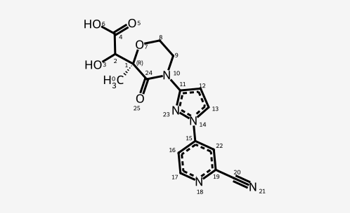 C[C@]1(C(O)C(=O)O)OCCN(c2ccn(-c3ccnc(C#N)c3)n2)C1=O